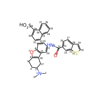 CN(C)C1CCc2oc3ccc(NC(=O)c4ccc5ccsc5c4)cc3c2C1.O=S(=O)(O)c1cccc2ccccc12